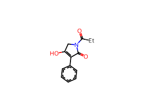 CCC(=O)N1CC(O)=C(c2ccccc2)C1=O